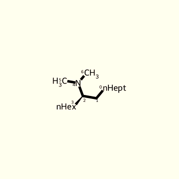 CCCCCCCC[C@@H](CCCCCC)N(C)C